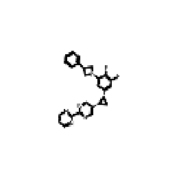 Fc1cc([C@@H]2C[C@H]2c2cnc(-c3ncccn3)nc2)cc(N2CC(c3ccccc3)C2)c1F